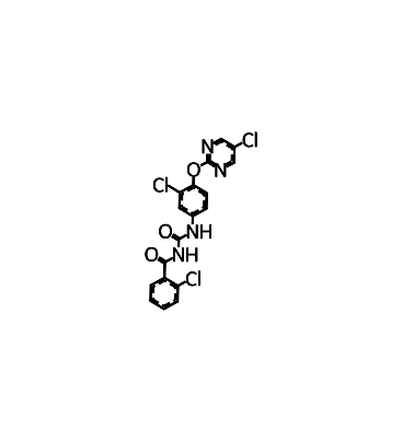 O=C(NC(=O)c1ccccc1Cl)Nc1ccc(Oc2ncc(Cl)cn2)c(Cl)c1